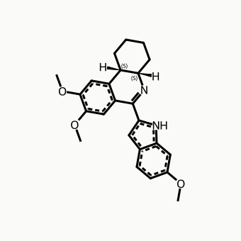 COc1ccc2cc(C3=N[C@H]4CCCC[C@H]4c4cc(OC)c(OC)cc43)[nH]c2c1